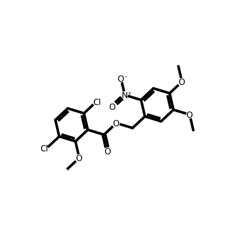 COc1cc(COC(=O)c2c(Cl)ccc(Cl)c2OC)c([N+](=O)[O-])cc1OC